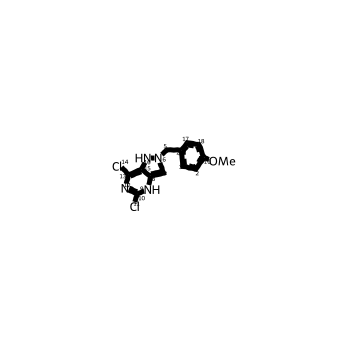 COc1ccc(CN2C=C3NC(Cl)=NC(Cl)=C3N2)cc1